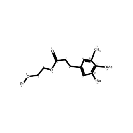 CCOCCOC(=O)CCc1cc(C)c(OC)c(C(C)(C)C)c1